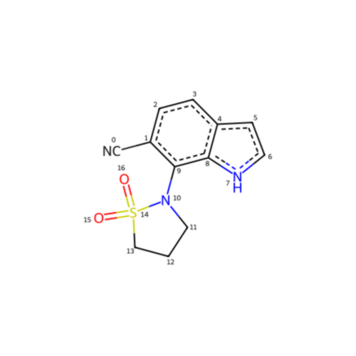 N#Cc1ccc2cc[nH]c2c1N1CCCS1(=O)=O